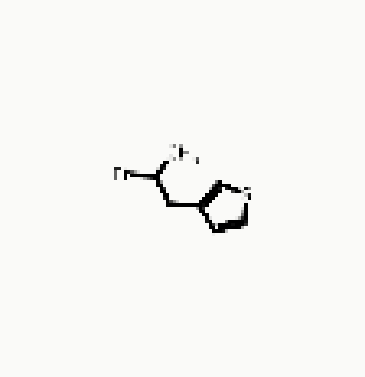 CCC(C)Cc1ccsc1